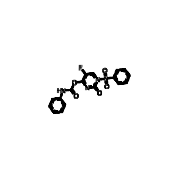 O=C(Nc1ccccc1)Oc1nc(=O)n(S(=O)(=O)c2ccccc2)cc1F